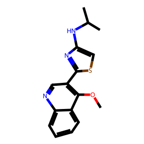 COc1c(-c2nc(NC(C)C)cs2)[c]nc2ccccc12